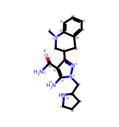 CN1CC(c2nn(CC3CCCN3)c(N)c2C(N)=O)Cc2ccccc21